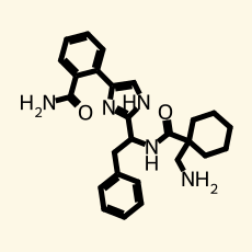 NCC1(C(=O)NC(Cc2ccccc2)c2nc(-c3ccccc3C(N)=O)c[nH]2)CCCCC1